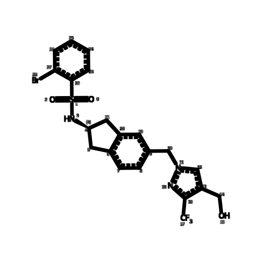 O=S(=O)(N[C@@H]1Cc2ccc(Cn3cc(CO)c(C(F)(F)F)n3)cc2C1)c1ccccc1Br